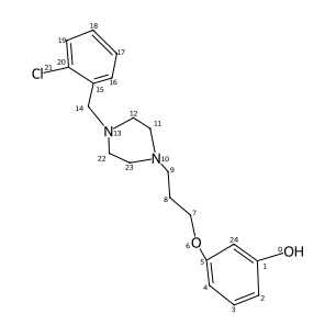 Oc1cccc(OCCCN2CCN(Cc3ccccc3Cl)CC2)c1